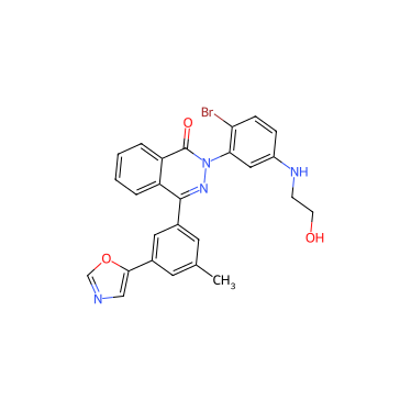 Cc1cc(-c2cnco2)cc(-c2nn(-c3cc(NCCO)ccc3Br)c(=O)c3ccccc23)c1